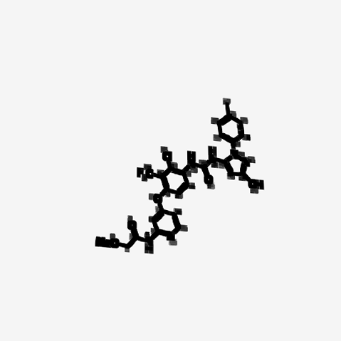 COCC(=O)Nc1cc(Oc2ccc(NC(=O)Nc3cc(O)nn3-c3ccc(C)cc3)c(Cl)c2C(F)(F)F)ccn1